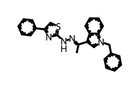 CC(=NNc1nc(-c2ccccc2)cs1)c1cn(Cc2ccccc2)c2ccccc12